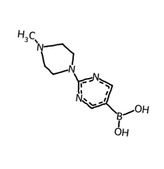 CN1CCN(c2ncc(B(O)O)cn2)CC1